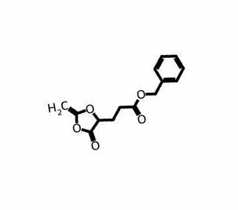 C=C1OC(=O)C(CCC(=O)OCc2ccccc2)O1